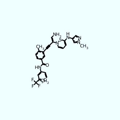 C=C(/C=C(\C=C/C)NC(=O)c1ccc(C)c(C#C/C(=C/N)N2C=CC=C(Nc3cnn(C)c3)S2)c1)C(F)(F)F